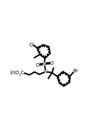 CCOC(=O)CCCN(C(C)(C)c1cccc(Br)c1)S(=O)(=O)c1cccc(Cl)c1C